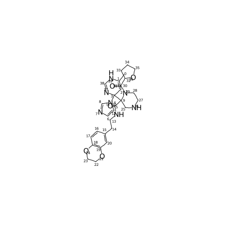 CC1=CC(n2ccnc2)(C2(C(=O)NCCc3ccc4c(c3)OCCO4)CNCCN2C(=O)C2CCCO2)N=CN1